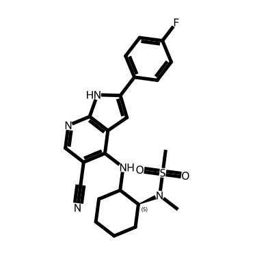 CN([C@H]1CCCCC1Nc1c(C#N)cnc2[nH]c(-c3ccc(F)cc3)cc12)S(C)(=O)=O